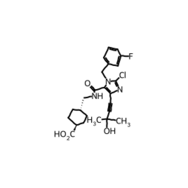 CC(C)(O)C#Cc1nc(Cl)n(Cc2cccc(F)c2)c1C(=O)NC[C@H]1CC[C@H](C(=O)O)CC1